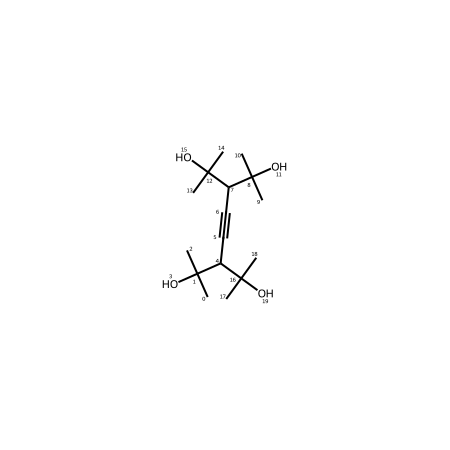 CC(C)(O)C(C#CC(C(C)(C)O)C(C)(C)O)C(C)(C)O